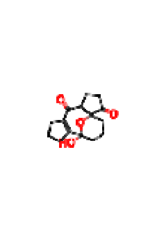 O=C1C2=C(CCC2)C2(O)CCCC3(O2)C(=O)CCC13